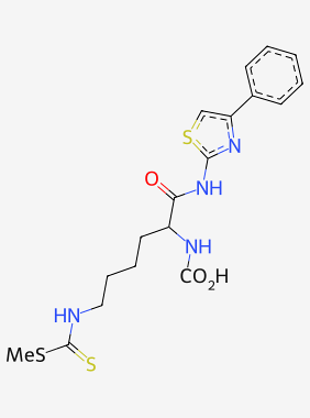 CSC(=S)NCCCCC(NC(=O)O)C(=O)Nc1nc(-c2ccccc2)cs1